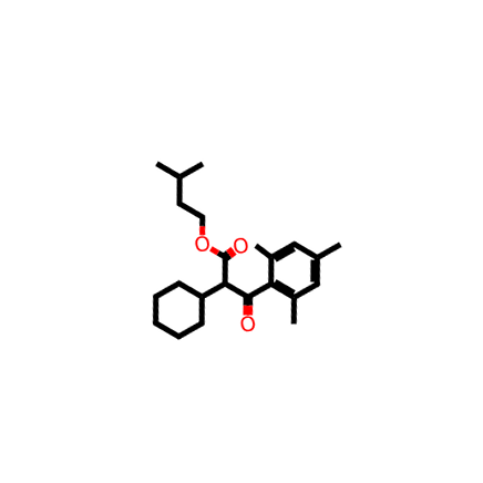 Cc1cc(C)c(C(=O)C(C(=O)OCCC(C)C)C2CCCCC2)c(C)c1